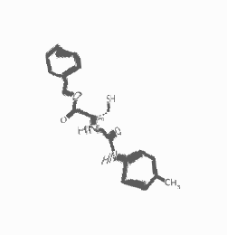 Cc1ccc(NC(=O)N[C@@H](CS)C(=O)OCc2ccccc2)cc1